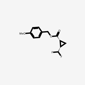 COc1ccc(COC(=O)[C@@H]2C[C@@H]2C(F)F)cc1